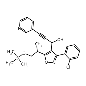 CC(CO[Si](C)(C)C)c1onc(-c2ccccc2Cl)c1C(O)C#Cc1cccnc1